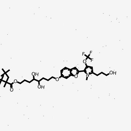 Cn1c(CCCO)cc(OC(F)(F)F)c1-c1cc2ccc(OCCCC(O)C(O)CCCOC(=O)C(C)(CC(C)(C)C)C(C)(C)C)cc2o1